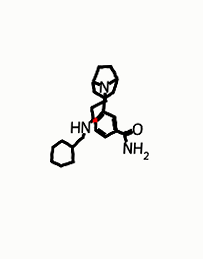 NC(=O)c1cccc(C2CC3CCC(C2)N3CCCNCC2CCCCC2)c1